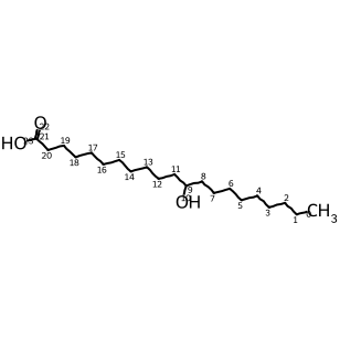 CCCCCCCCCC(O)CCCCCCCCCCC(=O)O